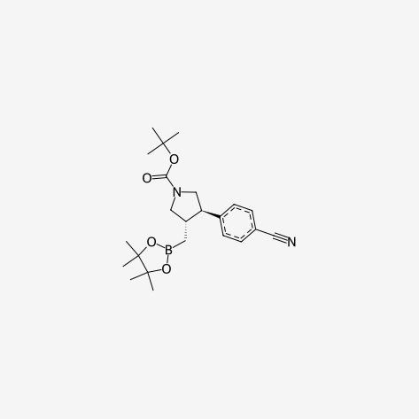 CC(C)(C)OC(=O)N1C[C@@H](CB2OC(C)(C)C(C)(C)O2)[C@H](c2ccc(C#N)cc2)C1